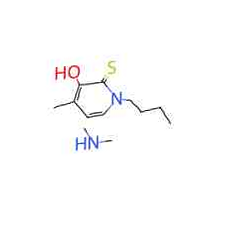 CCCCn1ccc(C)c(O)c1=S.CNC